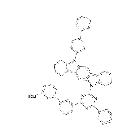 CCCCc1cccc(-c2cccc(-c3nc(-c4ccccc4)nc(-n4c5ccccc5c5cc6c(cc54)c4ccccc4n6-c4ccc(-c5ccccc5)cc4)n3)c2)c1